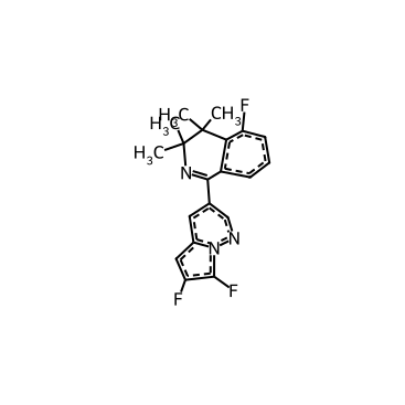 CC1(C)N=C(c2cnn3c(F)c(F)cc3c2)c2cccc(F)c2C1(C)C